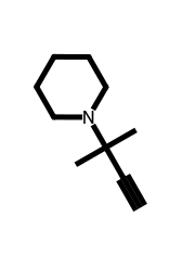 C#CC(C)(C)N1CCCCC1